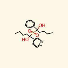 CCCCC(O)(c1ccccc1)S(=O)(=O)C(O)(CCCC)c1ccccc1